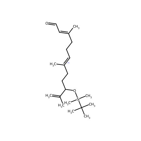 C=C(C)C(CC/C(C)=C/CCC(C)=CC=O)O[Si](C)(C)C(C)(C)C